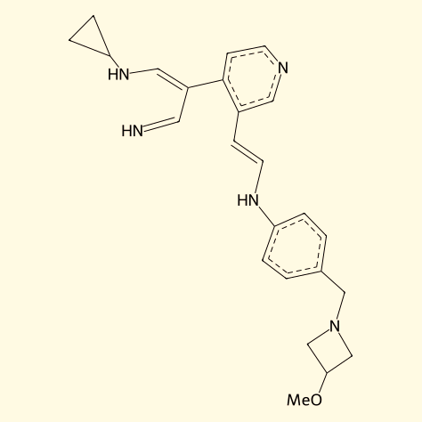 COC1CN(Cc2ccc(N/C=C/c3cnccc3/C(C=N)=C/NC3CC3)cc2)C1